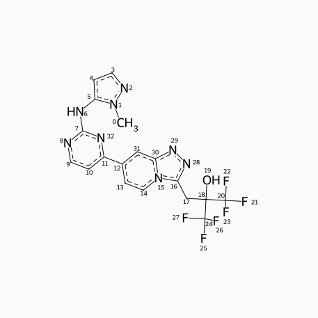 Cn1nccc1Nc1nccc(-c2ccn3c(CC(O)(C(F)(F)F)C(F)(F)F)nnc3c2)n1